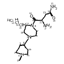 CN1CCC(N2CCN(C(=O)[C@H](N)CC(N)=O)CC2)CC1.Cl.Cl.Cl